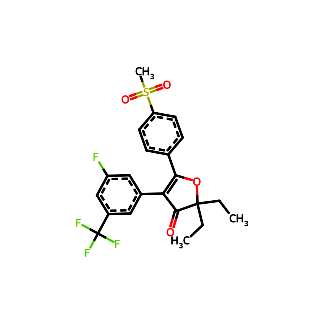 CCC1(CC)OC(c2ccc(S(C)(=O)=O)cc2)=C(c2cc(F)cc(C(F)(F)F)c2)C1=O